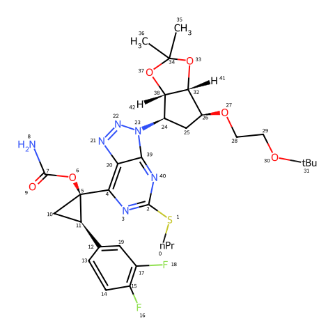 CCCSc1nc([C@@]2(OC(N)=O)C[C@@H]2c2ccc(F)c(F)c2)c2nnn([C@@H]3C[C@H](OCCOC(C)(C)C)[C@H]4OC(C)(C)O[C@H]43)c2n1